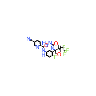 N#Cc1ccc(C(=O)Nc2ccc(F)c(C34CO[C@H](C(F)(F)F)[C@H]3COC(N)=N4)c2)nc1